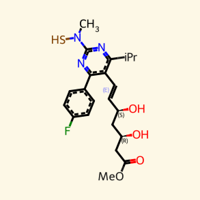 COC(=O)C[C@H](O)C[C@H](O)/C=C/c1c(-c2ccc(F)cc2)nc(N(C)S)nc1C(C)C